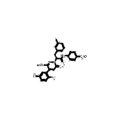 COc1nn(C(Cc2cccc(C)c2)C(=O)Nc2ccc(C=O)cc2)c(=O)cc1-c1cc(Cl)ccc1C(C)=O